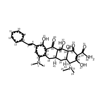 CN(C)c1cc(/C=C/c2ccccc2)c(O)c2c1C[C@@H]1C[C@@H]3[C@@H](N(C)C)C(O)=C(C(N)=O)C(=O)[C@]3(O)C(O)=C1C2=O